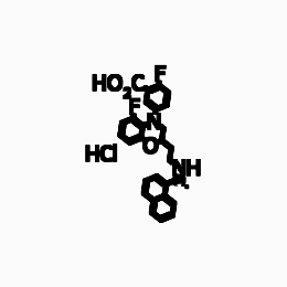 C[C@@H](NCCC1CN(c2ccc(F)c(C(=O)O)c2)c2c(F)cccc2O1)c1cccc2ccccc12.Cl